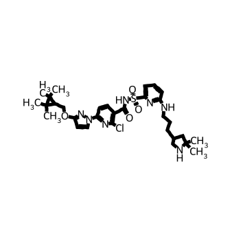 CC1(C)CC(CCCNc2cccc(S(=O)(=O)NC(=O)c3ccc(-n4ccc(OCC5C(C)(C)C5(C)C)n4)nc3Cl)n2)CN1